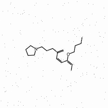 C=C(/C=C\C(=C/C)OCCCC)CCCN1CCCC1